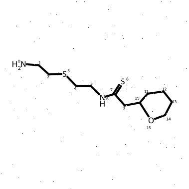 NCCSCCNC(=S)CC1CCCCO1